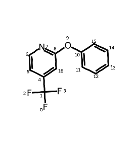 FC(F)(F)c1ccnc(Oc2cc[c]cc2)c1